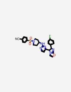 N#Cc1ccc(S(=O)(=O)N2CCC(Nc3nccc(C4C(c5ccc(F)cc5)N=C5OC=CN54)n3)CC2)cc1